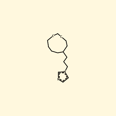 c1cn(CCCC2CCCCCCCCC2)cn1